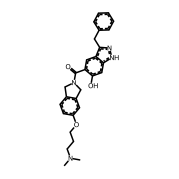 CN(C)CCCOc1ccc2c(c1)CN(C(=O)c1cc3c(Cc4ccccc4)n[nH]c3cc1O)C2